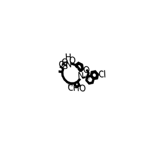 CC1CCC[C@@H](C=O)C2CCC2CN2C[C@@]3(CCCc4cc(Cl)ccc43)COc3ccc(cc32)C(=O)NS(=O)(=O)C1C